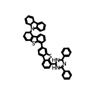 C1=CC2c3ccccc3N(C3CC=Cc4sc5c(-c6ccc7c(c6)sc6c(C8NC(c9ccccc9)=NC(c9ccccc9)N8)cccc67)cccc5c43)C2C=C1